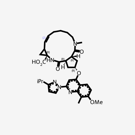 COc1ccc2c(O[C@@H]3C[C@H]4C(=O)N[C@]5(C(=O)O)CC5/C=C\CCCCN(C)C(=O)[C@@H]4C3)cc(-n3ccc(C(C)C)n3)nc2c1C